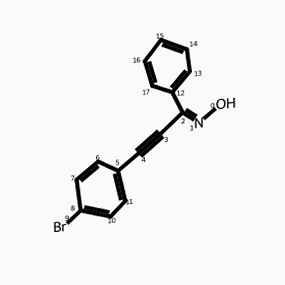 O/N=C(/C#Cc1ccc(Br)cc1)c1ccccc1